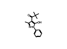 Cc1nn(-c2ccccc2)c(O)c1C(=O)C(C)(C)C